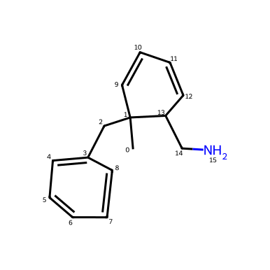 CC1(Cc2ccccc2)C=CC=CC1CN